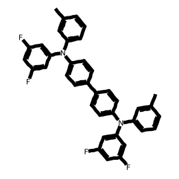 Cc1cccc(N(c2ccc(-c3ccc(N(c4cccc(C)c4)c4cc(F)cc(F)c4)cc3)cc2)c2cc(F)cc(F)c2)c1